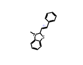 CN1c2ccccc2SC1/C=C/c1ccccc1